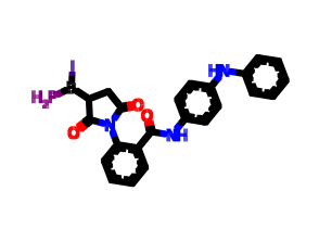 O=C(Nc1ccc(Nc2ccccc2)cc1)c1ccccc1N1C(=O)CC(B(P)I)C1=O